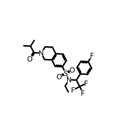 CCN(C(c1ccc(F)cc1)C(F)(F)F)S(=O)(=O)c1ccc2c(c1)CN(C(=O)C(C)C)CC2